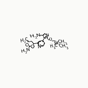 C=CCC(OC(N)=O)c1cc(-c2c(N)cnn2COCC[Si](C)(C)C)ccn1